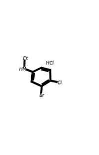 CCNc1ccc(Cl)c(Br)c1.Cl